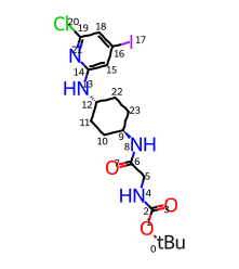 CC(C)(C)OC(=O)NCC(=O)N[C@H]1CC[C@H](Nc2cc(I)cc(Cl)n2)CC1